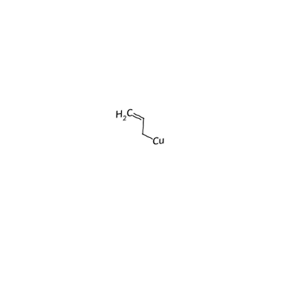 C=C[CH2][Cu]